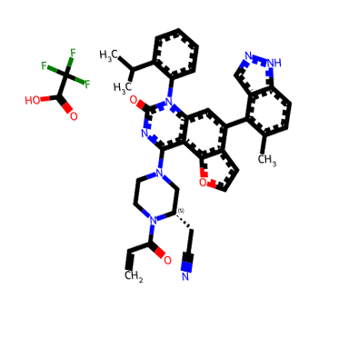 C=CC(=O)N1CCN(c2nc(=O)n(-c3ccccc3C(C)C)c3cc(-c4c(C)ccc5[nH]ncc45)c4ccoc4c23)C[C@@H]1CC#N.O=C(O)C(F)(F)F